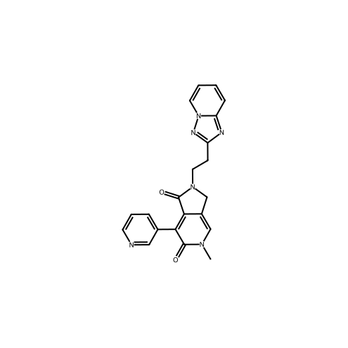 Cn1cc2c(c(-c3cccnc3)c1=O)C(=O)N(CCc1nc3ccccn3n1)C2